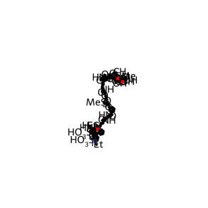 CC/N=c1\ccc2c(-c3ccccc3C(=O)N(C)CCCC(=O)NCCNC(=O)c3cccc(OCC(OCCOCC(=O)NCC#Cc4cn([C@H]5C[C@@H](O[C@H](C)SSC)[C@@H](COP(=O)(O)OP(=O)(O)OP(=O)(O)O)O5)c(=O)[nH]c4=O)SSC)c3)c3ccc(NCC)c(S(=O)(=O)O)c3oc-2c1S(=O)(=O)O